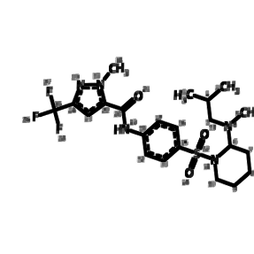 CC(C)CN(C)C1CCCCN1S(=O)(=O)c1ccc(NC(=O)c2cc(C(F)(F)F)nn2C)cc1